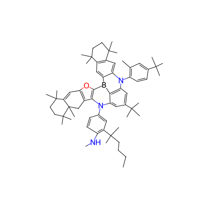 CCCCC(C)(C)c1cc(N2c3cc(C(C)(C)C)cc4c3B(c3cc5c(cc3N4c3ccc(C(C)(C)C)cc3C)C(C)(C)CCC5(C)C)c3oc4c(c32)CC2(C)C(=C4)C(C)(C)CCC2(C)C)ccc1NC